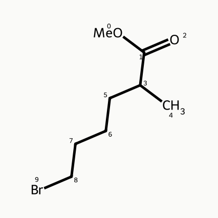 COC(=O)C(C)CCCCBr